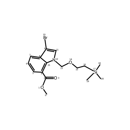 COC(=O)c1cccc2c(Br)cn(COCC[Si](C)(C)C)c12